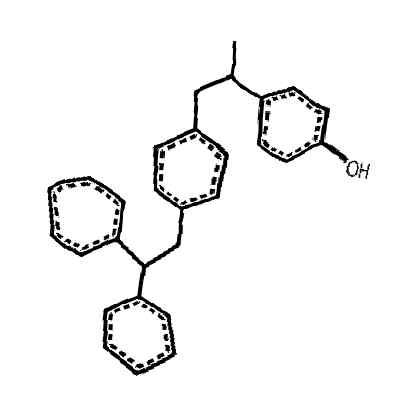 CC(Cc1ccc(CC(c2ccccc2)c2ccccc2)cc1)c1ccc(O)cc1